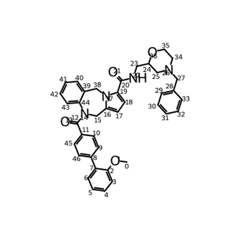 COc1ccccc1-c1ccc(C(=O)N2Cc3ccc(C(=O)NCC4CN(Cc5ccccc5)CCO4)n3Cc3ccccc32)cc1